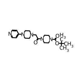 CC(C)(C)OC(=O)N1CCN(C(=O)CN2CCN(c3ccncc3)CC2)CC1